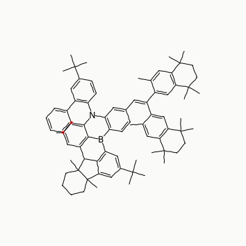 Cc1cc2c3c(c1)N(c1ccc(C(C)(C)C)cc1-c1ccccc1)c1cc(C=C(c4cc5c(cc4C)C(C)(C)CCC5(C)C)c4cc5c(cc4C)C(C)(C)CCC5(C)C)ccc1B3c1cc(C(C)(C)C)cc3c1C2C1(C)CCCCC31C